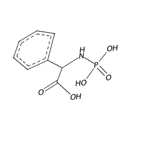 O=C(O)C(NP(=O)(O)O)c1ccccc1